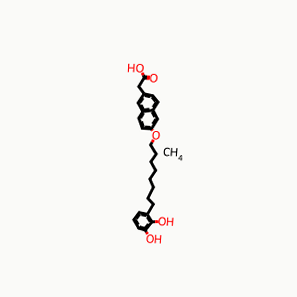 C.O=C(O)Cc1ccc2cc(OCCCCCCCCc3cccc(O)c3O)ccc2c1